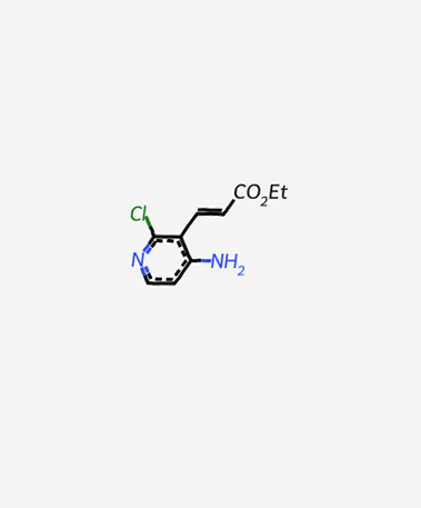 CCOC(=O)/C=C/c1c(N)ccnc1Cl